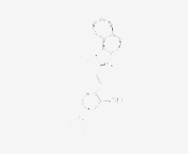 CCN(CC)c1ccc(/C=C/C2=[N+](C)c3ccc4ccccc4c3C2(C)CC)c(O)c1